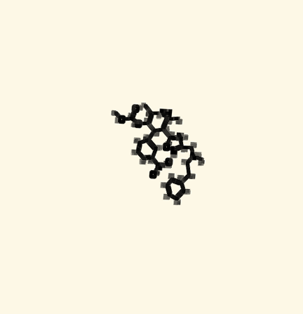 COC(=O)OC1=C(C)NC(C)=C(c2nc(CN(C)CCc3ccccc3)no2)C1c1cccc([N+](=O)[O-])c1